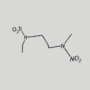 CN(CCN(C)[N+](=O)[O-])[N+](=O)[O-]